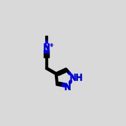 C[N+]#CCc1cn[nH]c1